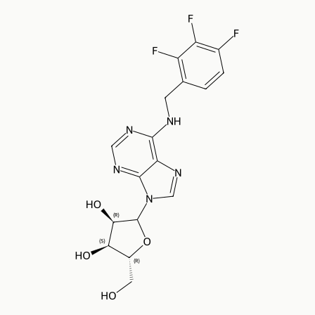 OC[C@H]1OC(n2cnc3c(NCc4ccc(F)c(F)c4F)ncnc32)[C@H](O)[C@@H]1O